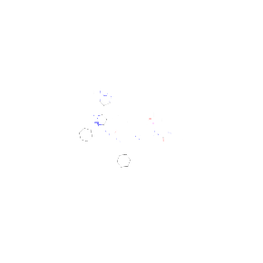 COCC(CNC(N)=O)N1C[C@@H](NC(=O)Nc2c(C)c(-c3cnn(C)c3)nn2-c2ccccc2)[C@H](c2ccc(F)c(F)c2)C1